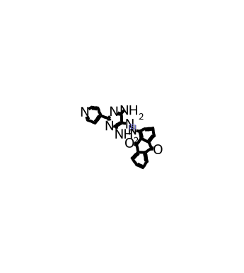 Nc1nc(-c2ccncc2)nc(N)c1/N=N/c1cccc2c1C(=O)c1ccccc1C2=O